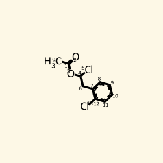 CC(=O)OC(Cl)Cc1ccccc1Cl